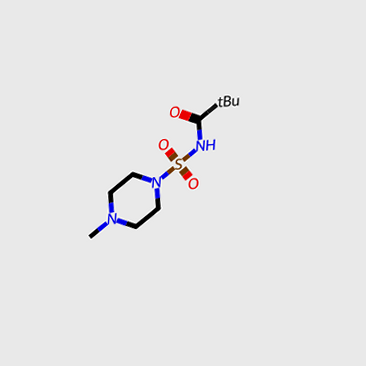 CN1CCN(S(=O)(=O)NC(=O)C(C)(C)C)CC1